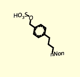 CCCCCCCCCCCCc1ccc(COS(=O)(=O)O)cc1